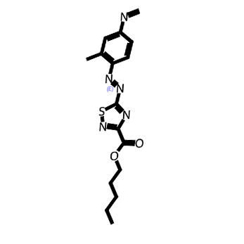 C=Nc1ccc(/N=N/c2nc(C(=O)OCCCCC)ns2)c(C)c1